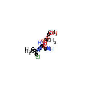 Cc1cc(S(=O)(=O)NC(=O)c2ccc(N3CCN(CC4=C(c5ccc(Cl)cc5)CC(C)(C)CC4)CC3)cc2Oc2cccc3[nH]ncc23)ccc1OC[C@H]1CC[C@@](C)(O)CC1